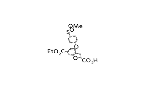 CCOC(=O)c1cc(Oc2ccc(SOOC)cc2)c2cc(C(=O)O)oc2c1